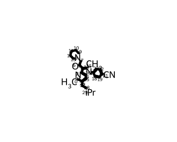 Cc1nc2c(C(=O)CN3CCCCC3)c(C)n(-c3ccc(C#N)cc3)c2cc1CCC(C)C